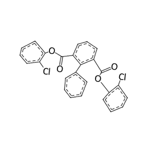 O=C(Oc1ccccc1Cl)c1cccc(C(=O)Oc2ccccc2Cl)c1-c1ccccc1